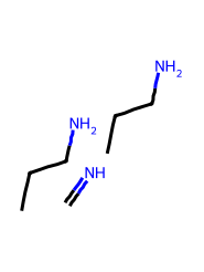 C=N.CCCN.CCCN